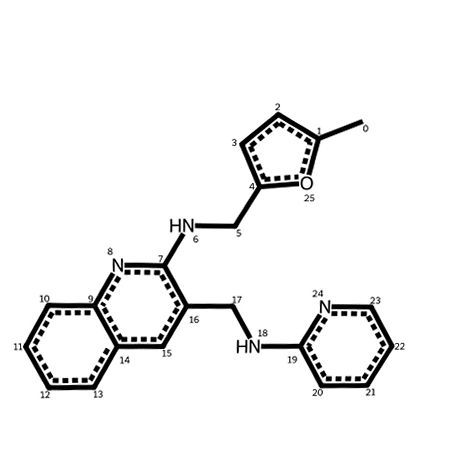 Cc1ccc(CNc2nc3ccccc3cc2CNc2ccccn2)o1